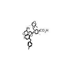 CC(C)C1COc2ncc(Cc3ccc(F)cc3)cc2N1CC(=O)N1C[C@@H](C)N(C(=O)O)C[C@@H]1CN1[C@H](C)COC[C@H]1C